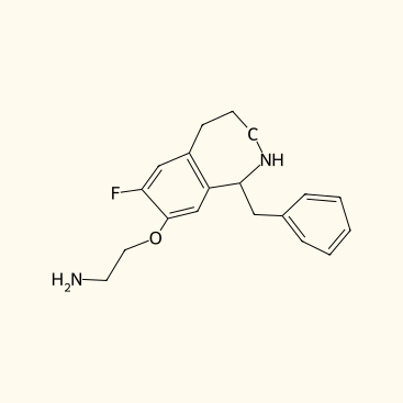 NCCOc1cc2c(cc1F)CCCNC2Cc1ccccc1